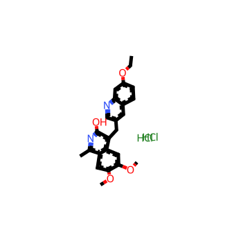 CCOc1ccc2cc(Cc3c(O)nc(C)c4cc(OC)c(OC)cc34)cnc2c1.Cl.Cl